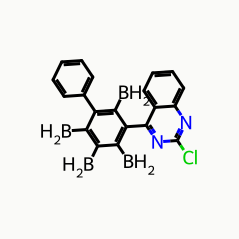 Bc1c(B)c(-c2ccccc2)c(B)c(-c2nc(Cl)nc3ccccc23)c1B